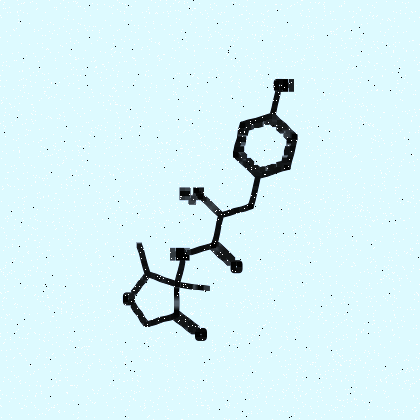 CC1OCC(=O)C1(C)NC(=O)C(N)Cc1ccc(O)cc1